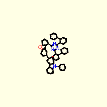 c1ccc(-c2ccccc2-c2nc(-c3ccccc3-c3ccccc3)nc(-c3cccc4oc5ccc(-c6ccc7c(c6)c6ccccc6n7-c6ccccc6)cc5c34)n2)cc1